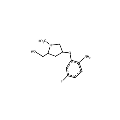 Nc1ccc(F)cc1OC1CC(CO)N(C(=O)O)C1